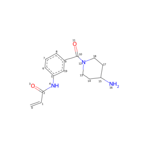 C=CC(=O)Nc1cccc(C(=O)N2CCC(N)CC2)c1